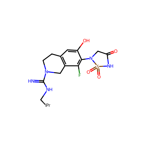 CC(C)CNC(=N)N1CCc2cc(O)c(N3CC(=O)NS3(=O)=O)c(F)c2C1